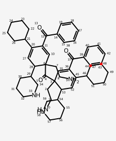 NCCC1(C(=O)C2(CCN)C=C(C(=O)c3ccccc3)C(C3CCCCC3)=CC2C2CCCNC2)C=C(C(=O)c2ccccc2)C(C2CCCCC2)=CC1C1CCCNC1